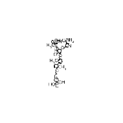 Cc1c(COc2cc(OCc3cncc(C(N)=O)c3)c(CN[C@](C)(CO)C(=O)O)cc2Cl)cccc1-c1cccc(OCCCN2CCC(CO)(C(=O)O)CC2)c1C